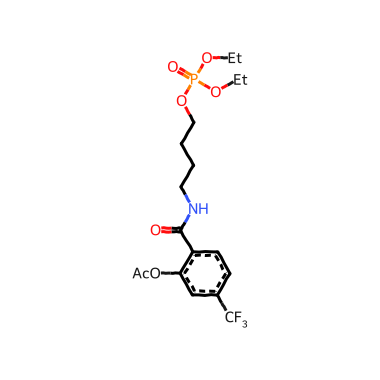 CCOP(=O)(OCC)OCCCCNC(=O)c1ccc(C(F)(F)F)cc1OC(C)=O